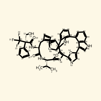 CC(C)[C@@H]1NC(=O)[C@@H](NC(=O)[C@@](CO)(c2ccccc2)C(F)(F)F)Cc2ccc3c(c2)C24c5cccc(c5NC2O3)-c2cccc3[nH]cc(c23)-c2cnc(o2)-c2nc1oc24